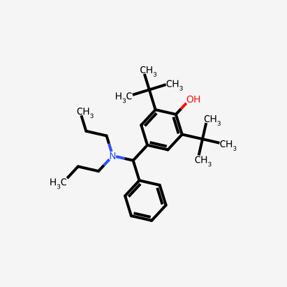 CCCN(CCC)C(c1ccccc1)c1cc(C(C)(C)C)c(O)c(C(C)(C)C)c1